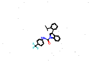 CC(C)c1ccccc1-c1cn(C(=O)Nc2ccc(C(F)(F)F)cc2)c2ccccc12